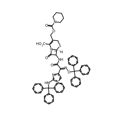 O=C(O)C1=C(COC(=O)N2CCCCC2)CS[C@H]2C(NC(=O)C(=NOC(c3ccccc3)(c3ccccc3)c3ccccc3)c3csc(NC(c4ccccc4)(c4ccccc4)c4ccccc4)n3)C(=O)N12